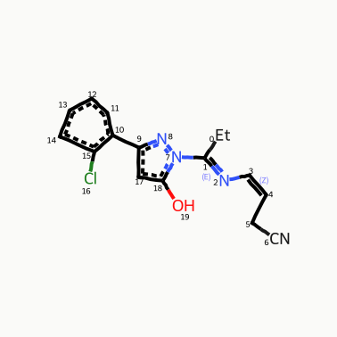 CC/C(=N\C=C/CC#N)n1nc(-c2ccccc2Cl)cc1O